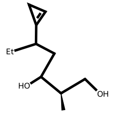 CCC(CC(O)[C@H](C)CO)C1=CC1